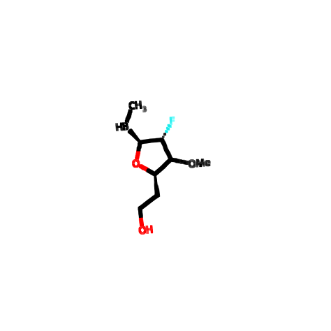 CB[C@@H]1O[C@H](CCO)C(OC)[C@H]1F